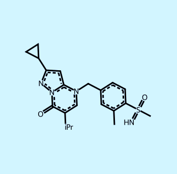 Cc1cc(Cn2cc(C(C)C)c(=O)n3nc(C4CC4)cc23)ccc1S(C)(=N)=O